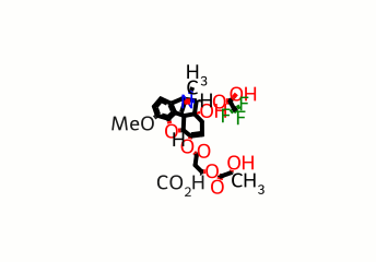 COc1ccc2c3c1O[C@H]1C(OC(=O)C[C@H](OC(=O)[C@H](C)O)C(=O)O)=CC[C@@]4(O)[C@@H](C2)N(C)CC[C@]314.O=C(O)C(F)(F)F